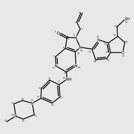 C=CCn1c(=O)c2cnc(Nc3ccc(N4CCN(C)CC4)cc3)nc2n1-c1ccc2c(n1)C(CS)CO2